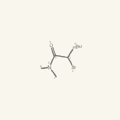 CCCCC(Br)C(=O)N(C)C